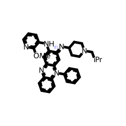 COc1ncccc1Nc1cc2nc3ccccc3n(-c3ccccc3)c-2c/c1=N\C1CCN(CC(C)C)CC1